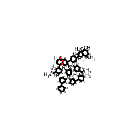 Cc1cc2c3c(c1)N(c1ccc(C(C)(C)C)cc1-c1ccccc1)c1cc(N(c4cccc(-c5ccccc5)c4)c4cccc(-c5ccccc5)c4)ccc1B3N(c1ccc(C(C)(C)C)cc1)c1cc3c(cc1-2)oc1cc2c(cc13)C(C)(C)CCC2(C)C